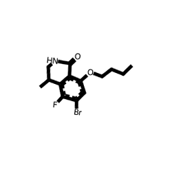 CCCCOc1cc(Br)c(F)c2c1C(=O)NCC2C